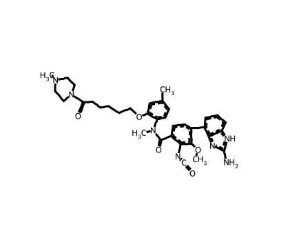 COc1c(-c2cccc3[nH]c(N)nc23)ccc(C(=O)N(C)c2ccc(C)cc2OCCCCCC(=O)N2CCN(C)CC2)c1N=C=O